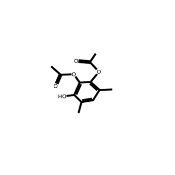 CC(=O)Oc1c(C)cc(C)c(O)c1OC(C)=O